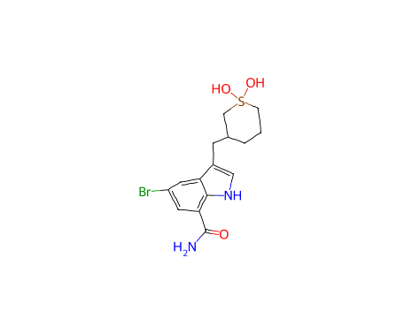 NC(=O)c1cc(Br)cc2c(CC3CCCS(O)(O)C3)c[nH]c12